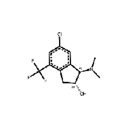 CN(C)[C@@H]1c2cc(Cl)cc(C(F)(F)F)c2C[C@H]1O